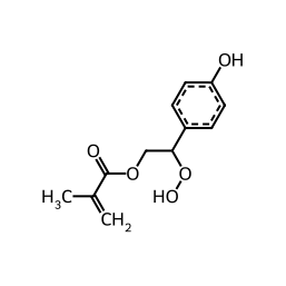 C=C(C)C(=O)OCC(OO)c1ccc(O)cc1